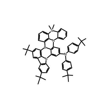 CC(C)(C)c1ccc(N(c2ccc(C(C)(C)C)cc2)c2cc3c4c(c2)-n2c5ccc(C(C)(C)C)cc5c5cc(C(C)(C)C)cc(c52)B4c2cccc4c2N3c2ccccc2[Si]4(C)C)cc1